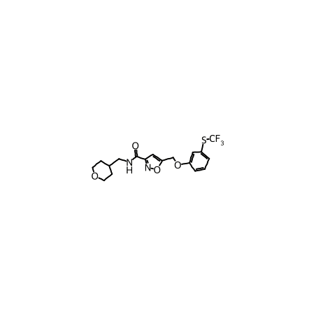 O=C(NCC1CCOCC1)c1cc(COc2cccc(SC(F)(F)F)c2)on1